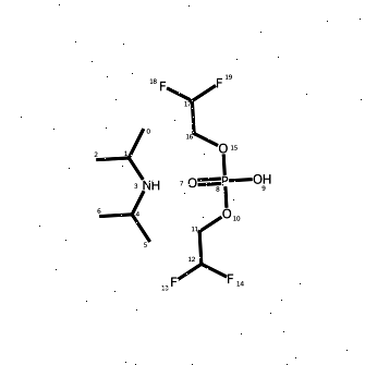 CC(C)NC(C)C.O=P(O)(OCC(F)F)OCC(F)F